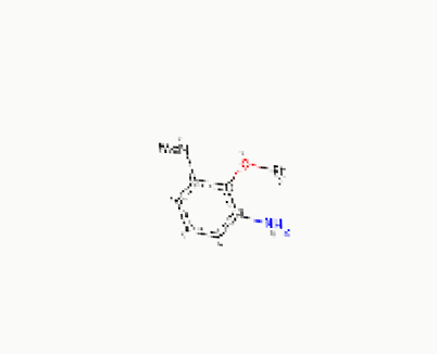 CCOc1c(N)cccc1NC